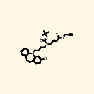 C#CCOC(=O)/C=C/CN(CCCCN1c2ccccc2CCc2ccc(Cl)cc21)C(=O)OC(C)(C)C